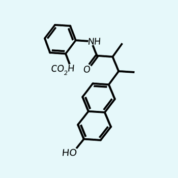 CC(C(=O)Nc1ccccc1C(=O)O)C(C)c1ccc2cc(O)ccc2c1